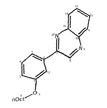 CCCCCCCCOc1cccc(-c2cnc3ccccc3n2)c1